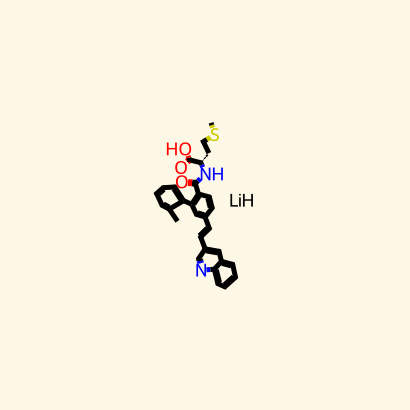 CSCC[C@H](NC(=O)c1ccc(C=Cc2cnc3ccccc3c2)cc1-c1ccccc1C)C(=O)O.[LiH]